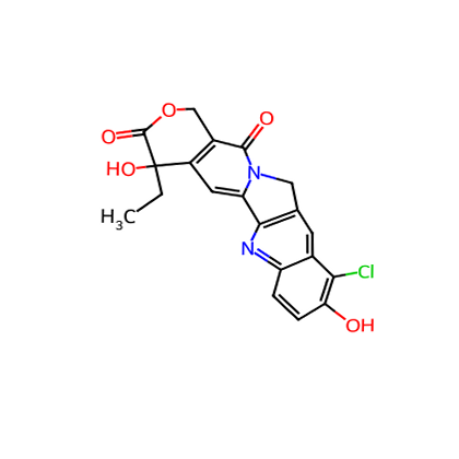 CCC1(O)C(=O)OCc2c1cc1n(c2=O)Cc2cc3c(Cl)c(O)ccc3nc2-1